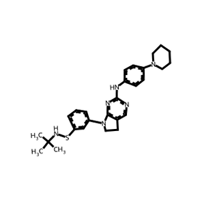 CC(C)(C)NSc1cccc(N2CCc3cnc(Nc4ccc(N5CCCCC5)cc4)nc32)c1